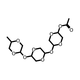 CC(=O)OC1COC(OC2COC(OC3COC(C)CO3)CO2)CO1